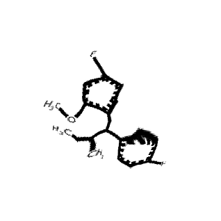 COc1cc(F)ccc1C(c1ccc(F)cc1)C(C)C